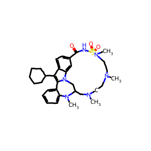 CN1CCN(C)CC2Cn3c(c(C4CCCCC4)c4ccc(cc43)C(=O)NS(=O)(=O)N(C)CC1)-c1ccccc1N2C